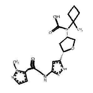 Cn1nccc1C(=O)Nc1cc([C@@H]2C[C@H](N(C(=O)O)C3(C)CCC3)CO2)[nH]n1